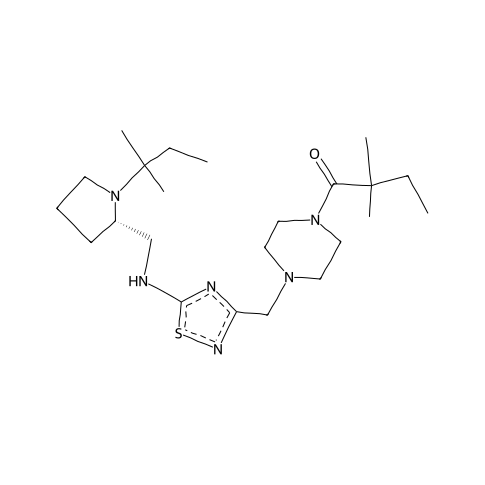 CCC(C)(C)C(=O)N1CCN(Cc2nsc(NC[C@@H]3CCCN3C(C)(C)CC)n2)CC1